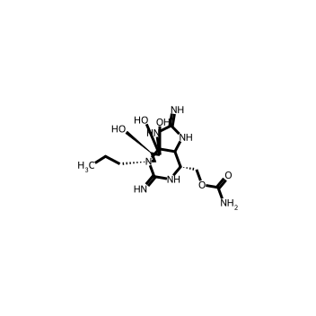 CCC[C@H]1[C@@H](O)C(O)(O)C23NC(=N)NC2[C@H](COC(N)=O)NC(=N)N13